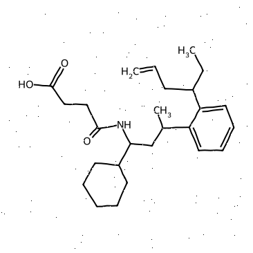 C=CCC(CC)c1ccccc1C(C)CC(NC(=O)CCC(=O)O)C1CCCCC1